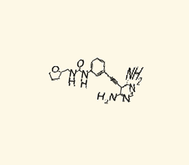 Nc1ncnc(N)c1C#Cc1cccc(NC(=O)NCC2CCCO2)c1